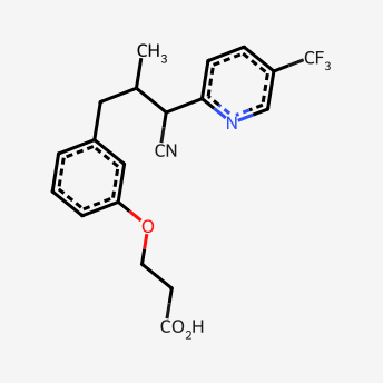 CC(Cc1cccc(OCCC(=O)O)c1)C(C#N)c1ccc(C(F)(F)F)cn1